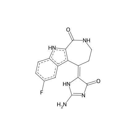 NC1=NC(=O)C(=C2CCNC(=O)c3[nH]c4ccc(F)cc4c32)N1